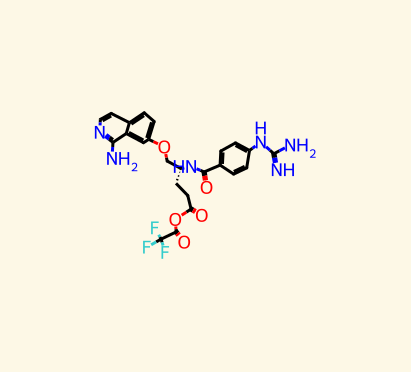 N=C(N)Nc1ccc(C(=O)N[C@H](CCC(=O)OC(=O)C(F)(F)F)COc2ccc3ccnc(N)c3c2)cc1